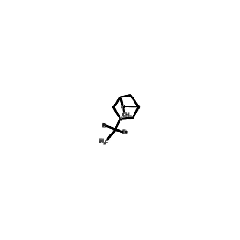 CCC(C)(CC)N1CC2CC(C1)N2C